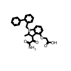 CC1C(C(=O)C(N)=O)c2c(OCC(=O)O)cccc2N1Cc1ccccc1-c1ccccc1